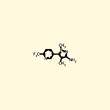 Cc1c(N)nn(C)c1-c1ccc(C(F)(F)F)nc1